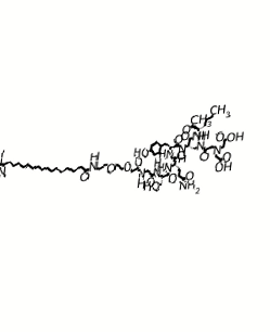 CCCC[C@H](NC(=O)[C@H](CNC(=O)CN(CC(=O)O)CC(=O)O)NC(=O)[C@H](Cc1ccc(O)cc1)NC(=O)[C@H](CCC(N)=O)NC(=O)[C@H](CO)NC(=O)CNC(=O)COCCOCCNC(=O)CCCCCCCCCCCCCCCc1nnn[nH]1)C(C)=O